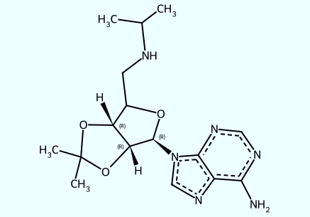 CC(C)NCC1O[C@@H](n2cnc3c(N)ncnc32)[C@@H]2OC(C)(C)O[C@H]12